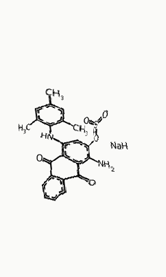 Cc1cc(C)c(Nc2cc(O[SH](=O)=O)c(N)c3c2C(=O)c2ccccc2C3=O)c(C)c1.[NaH]